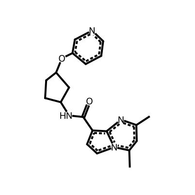 Cc1cc(C)n2ccc(C(=O)NC3CCC(Oc4cccnc4)C3)c2n1